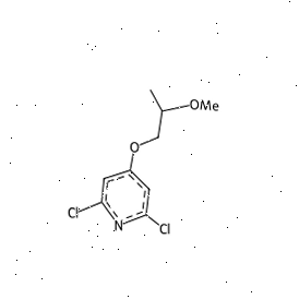 COC(C)COc1cc(Cl)nc(Cl)c1